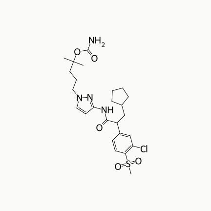 CC(C)(CCCn1ccc(NC(=O)C(CC2CCCC2)c2ccc(S(C)(=O)=O)c(Cl)c2)n1)OC(N)=O